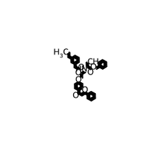 CCCc1cccc(CC(=O)OC(CNC(CC)C(=O)OCc2ccccc2)COc2ccc3c(=O)cc(-c4ccccc4)oc3c2)c1